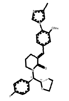 COc1cc(C=C2CCCN([C@H](c3ccc(F)cc3)[C@@H]3CCCO3)C2=O)ccc1-n1cnc(C)c1